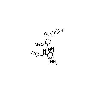 COc1cc(C(=O)N2CC3(CNC3)C2)ccc1Cn1ncc2nc(N)nc(NCC3CC4(CCC4)C3)c21